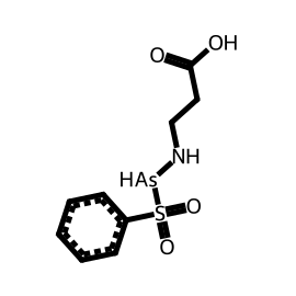 O=C(O)CCN[AsH]S(=O)(=O)c1ccccc1